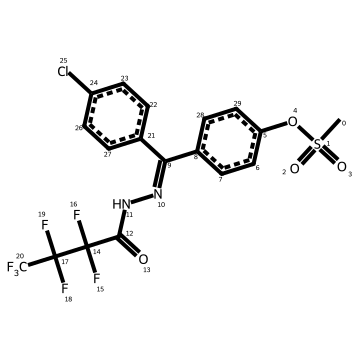 CS(=O)(=O)Oc1ccc(C(=NNC(=O)C(F)(F)C(F)(F)C(F)(F)F)c2ccc(Cl)cc2)cc1